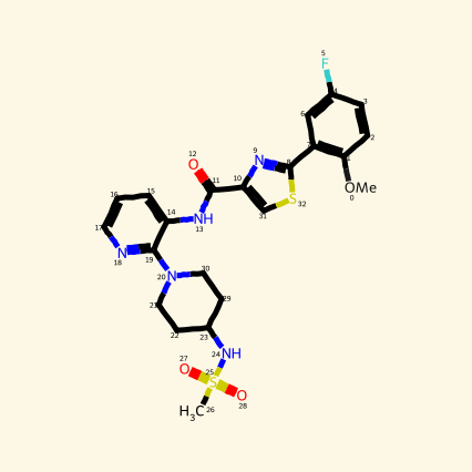 COc1ccc(F)cc1-c1nc(C(=O)Nc2cccnc2N2CCC(NS(C)(=O)=O)CC2)cs1